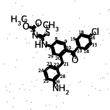 COC(=O)N=C(Nc1ccc(C(=O)c2ccc(Cl)cc2)c(Cc2cccc(N)c2)c1)SC